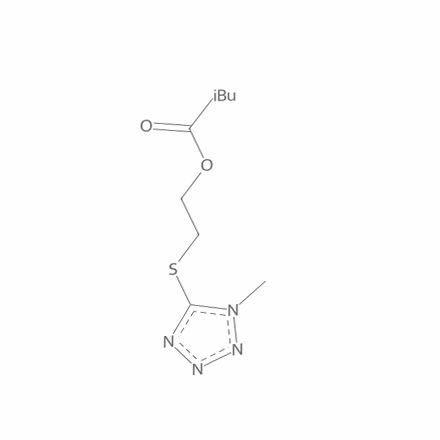 CCC(C)C(=O)OCCSc1nnnn1C